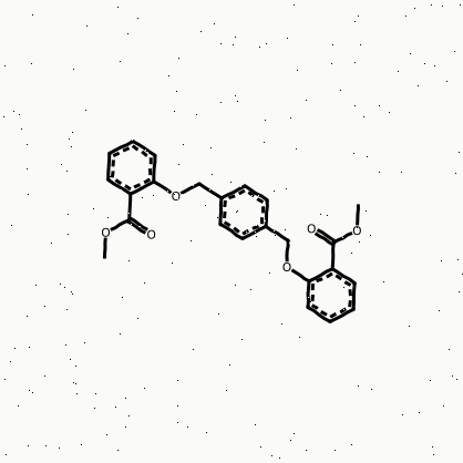 COC(=O)c1ccccc1OCc1ccc(COc2ccccc2C(=O)OC)cc1